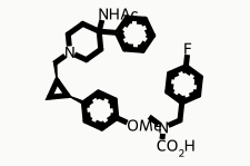 CN(Cc1ccc(F)cc1)C(=O)O.COc1ccc([C@H]2C[C@H]2CN2CCC(NC(C)=O)(c3ccccc3)CC2)cc1